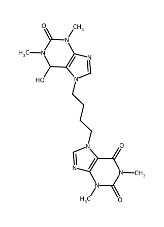 CN1C(=O)N(C)C(O)c2c1ncn2CCCCn1cnc2c1c(=O)n(C)c(=O)n2C